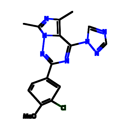 COc1ccc(-c2nc(-n3cncn3)c3c(C)nc(C)n3n2)cc1Cl